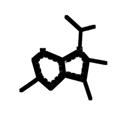 Cc1cnc2c(c1)c(C)c(C)n2C(C)C